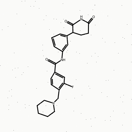 O=C1CCC(c2cccc(NC(=O)c3ccc(CN4CCCCC4)c(F)c3)c2)C(=O)N1